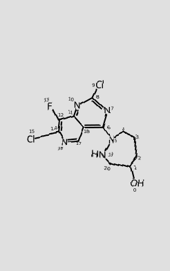 OC1CCCN(c2nc(Cl)nc3c(F)c(Cl)ncc23)NC1